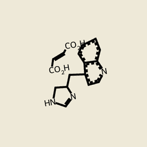 C1=NC(Cc2ccnc3ccccc23)CN1.O=C(O)/C=C/C(=O)O